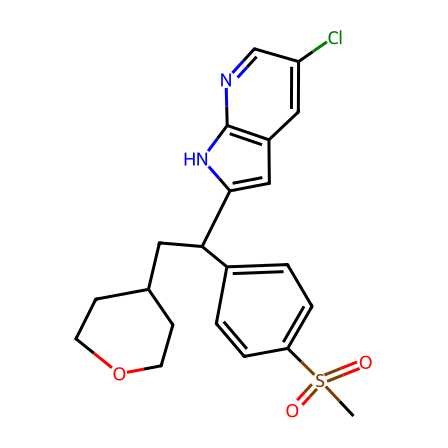 CS(=O)(=O)c1ccc(C(CC2CCOCC2)c2cc3cc(Cl)cnc3[nH]2)cc1